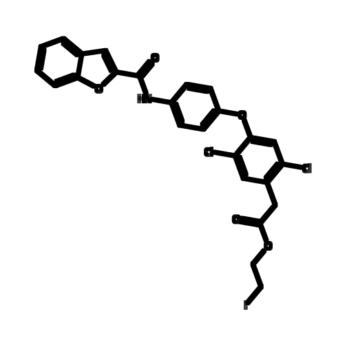 O=C(Cc1cc(Cl)c(Oc2ccc(NC(=O)c3cc4ccccc4o3)cc2)cc1Cl)OCCI